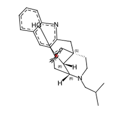 CC(C)CN1CC[C@]23Cc4nc5ccccc5cc4C[C@H]2[C@H]1Cc1ccc(O)cc13